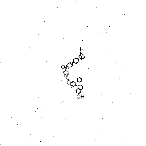 O=C(C1CCN(CCOc2ccc([C@@H]3c4ccc(O)cc4CC[C@@H]3c3ccccc3)cc2)CC1)N1CCN(c2ccc(N3C=CCNC3)cc2)CC1